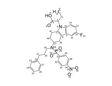 CCC(C(=O)O)n1c2c(c3cc(F)ccc31)CC(N(CCCc1ccccc1)S(=O)(=O)c1ccc([N+](=O)[O-])cc1)CC2